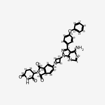 Nc1ncnc2c1c(-c1ccc(Oc3ccccc3)cc1)nn2C1CN(c2ccc3c(c2)C(=O)N(C2CCC(=O)NC2=O)C3=O)C1